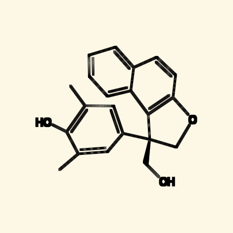 Cc1cc([C@@]2(CO)COc3ccc4ccccc4c32)cc(C)c1O